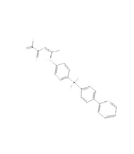 C=C(N)C(=N)/C=C(/C)Nc1ccc(C(C)(C)c2ccc(-c3ccccn3)cc2)cc1